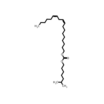 CCCCC/C=C\C/C=C\CCCCCCCCOC(=O)OCCCCCC(C)C